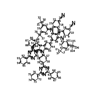 CC(C)(C)c1cc(N2c3ccc(C#N)cc3B3c4cc(C#N)ccc4N(c4cc(C(C)(C)C)cc(C(C)(C)C)c4)c4cc(-c5ccc6c(c5)c5ccccc5n6-c5ccc(-c6nc(-c7ccccc7)nc(-c7ccccc7)n6)cc5-c5nc(-c6ccccc6)nc(-c6ccccc6)n5)cc2c43)cc(C(C)(C)C)c1